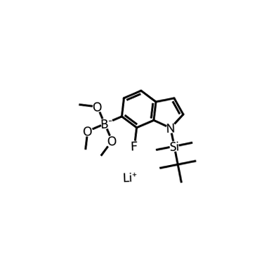 CO[B-](OC)(OC)c1ccc2ccn([Si](C)(C)C(C)(C)C)c2c1F.[Li+]